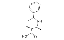 CC(N[C@@H](C)[C@H](C)C(=O)O)c1ccccc1